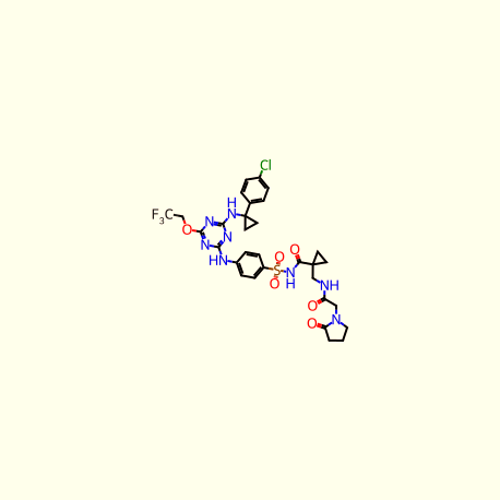 O=C(CN1CCCC1=O)NCC1(C(=O)NS(=O)(=O)c2ccc(Nc3nc(NC4(c5ccc(Cl)cc5)CC4)nc(OCC(F)(F)F)n3)cc2)CC1